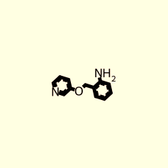 Nc1ccccc1COc1cccnc1